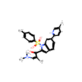 Cc1ccc(S(=O)(=O)n2c(C(=O)/C(C#N)=C\N(C)C)cc3ccc(-c4ccc(C(F)(F)F)cn4)cc32)cc1